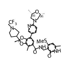 CSc1cc(C)[nH]c(=O)c1CNC(=O)c1cc(-c2ccc(N3C[C@@H](C)O[C@@H](C)C3)nc2)c2c(c1C)O[C@](C)(C1CCN(CC(F)(F)F)CC1)O2